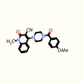 COc1ccc(C(=O)N2CCN(c3c(C#N)c(=O)n(C)c4ccccc34)CC2)cc1